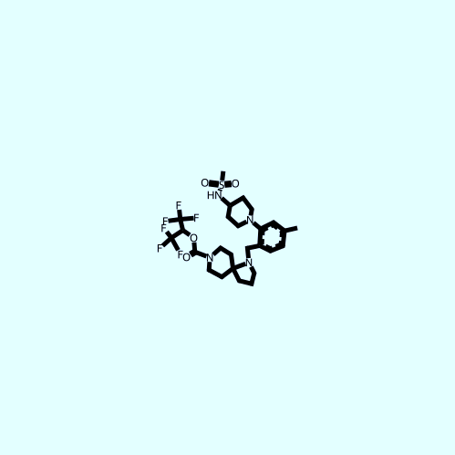 Cc1ccc(CN2CCCC23CCN(C(=O)OC(C(F)(F)F)C(F)(F)F)CC3)c(N2CCC(NS(C)(=O)=O)CC2)c1